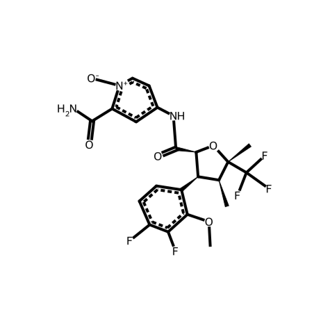 COc1c([C@H]2[C@@H](C(=O)Nc3cc[n+]([O-])c(C(N)=O)c3)O[C@](C)(C(F)(F)F)[C@H]2C)ccc(F)c1F